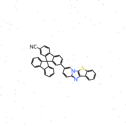 N#Cc1ccc2c(c1)C1(c3ccccc3-c3ccccc31)c1cc(-c3ccc4nc5c6ccccc6sc5n4c3)ccc1-2